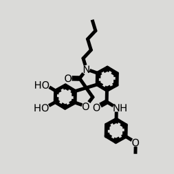 CCCCCN1C(=O)C2(COc3cc(O)c(O)cc32)c2c(C(=O)Nc3cccc(OC)c3)cccc21